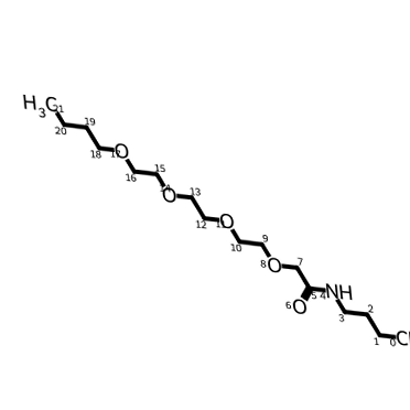 CCCCNC(=O)COCCOCCOCCOCCCC